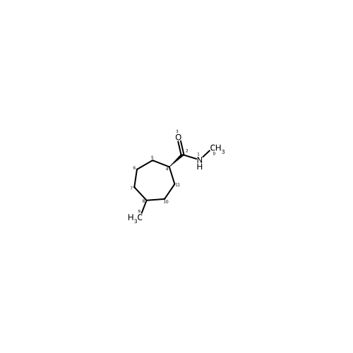 CNC(=O)[C@@H]1CCCC(C)CC1